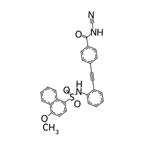 COc1ccc(S(=O)(=O)Nc2ccccc2C#Cc2ccc(C(=O)NC#N)cc2)c2ccccc12